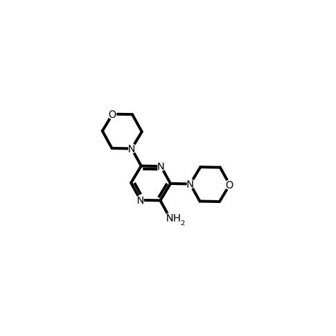 Nc1ncc(N2CCOCC2)nc1N1CCOCC1